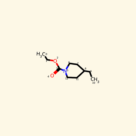 CCOC(=O)N1CCC(CC)CC1